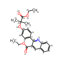 CCOC(=O)c1cc2ccccc2nc1-c1ccc(OC(C)(C)C(=O)OCC)cc1